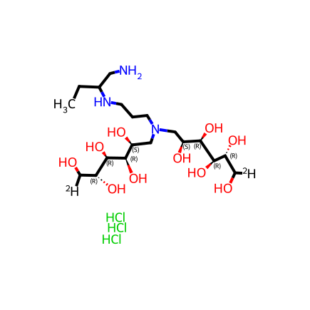 Cl.Cl.Cl.[2H]C(O)[C@@H](O)[C@@H](O)[C@H](O)[C@@H](O)CN(CCCNC(CC)CN)C[C@H](O)[C@@H](O)[C@H](O)[C@H](O)C([2H])O